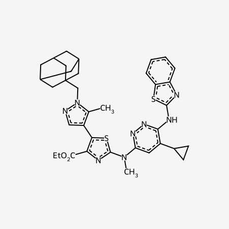 CCOC(=O)c1nc(N(C)c2cc(C3CC3)c(Nc3nc4ccccc4s3)nn2)sc1-c1cnn(CC23CC4CC(CC(C4)C2)C3)c1C